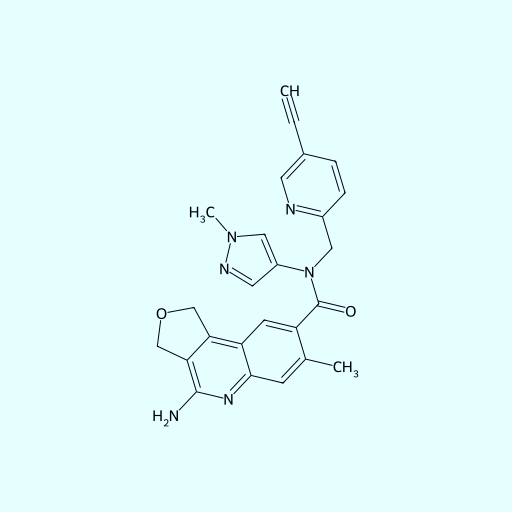 C#Cc1ccc(CN(C(=O)c2cc3c4c(c(N)nc3cc2C)COC4)c2cnn(C)c2)nc1